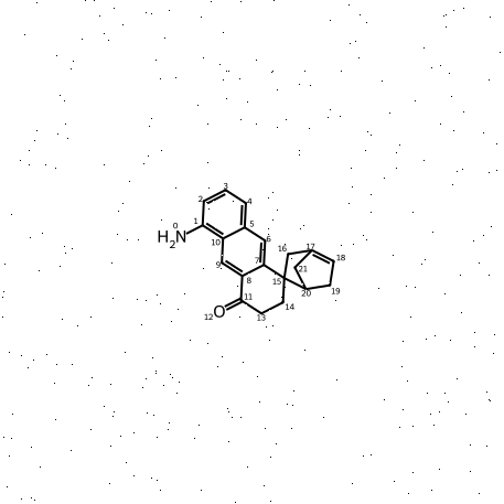 Nc1cccc2cc3c(cc12)C(=O)CCC31CC2=CCC1C2